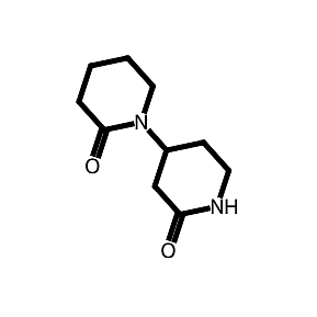 O=C1CC(N2CCCCC2=O)CCN1